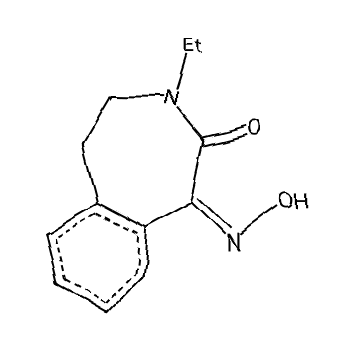 CCN1CCc2ccccc2/C(=N/O)C1=O